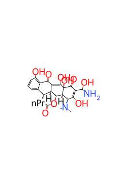 CCCC(=O)O[C@H]1[C@H]2C(=C(O)[C@]3(O)C(=O)C(C(N)O)=C(O)[C@@H](N(C)C)[C@H]13)C(=O)c1c(O)cccc1[C@@H]2C